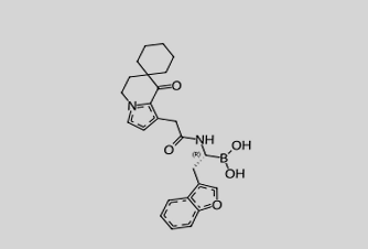 O=C(Cc1ccn2c1C(=O)C1(CCCCC1)CC2)N[C@@H](Cc1coc2ccccc12)B(O)O